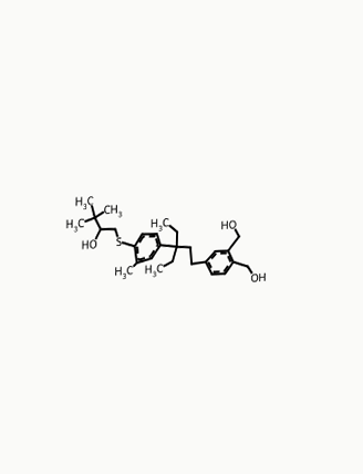 CCC(CC)(CCc1ccc(CO)c(CO)c1)c1ccc(SCC(O)C(C)(C)C)c(C)c1